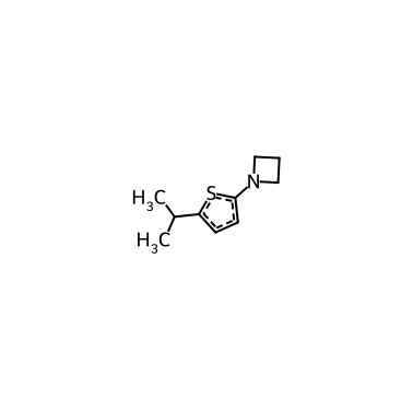 CC(C)c1ccc(N2CCC2)s1